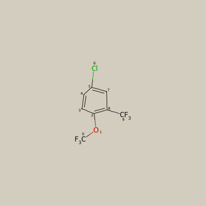 FC(F)(F)Oc1ccc(Cl)cc1C(F)(F)F